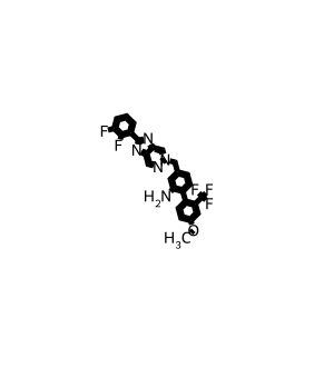 COc1ccc(-c2ccc(Cn3cc4nc(-c5cccc(F)c5F)nc-4cn3)cc2N)c(C(F)(F)F)c1